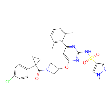 Cc1cccc(C)c1-c1cc(OC2CN(C(=O)C3(c4ccc(Cl)cc4)CC3)C2)nc(NS(=O)(=O)c2cnn(C)c2)n1